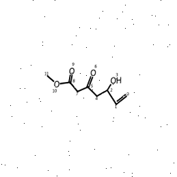 C=CC(O)CC(=O)CC(=O)OC